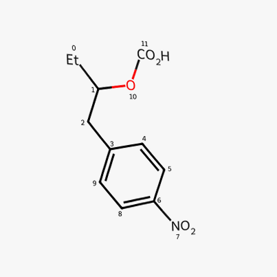 CCC(Cc1ccc([N+](=O)[O-])cc1)OC(=O)O